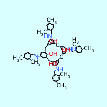 Cc1ccc(/C=N/c2cc3c(O)c(c2)Cc2cc(NCc4ccc(C)cc4C)cc(c2O)Cc2cc(NCc4ccc(C)cc4C)cc(c2O)Cc2cc(NCc4ccc(C)cc4C)cc(c2O)C3)c(C)c1